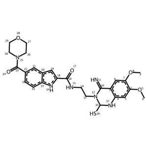 COc1cc2c(cc1OC)C(=N)N(CCNC(=O)c1cc3cc(C(=O)N4CCOCC4)ccc3[nH]1)C(S)N2